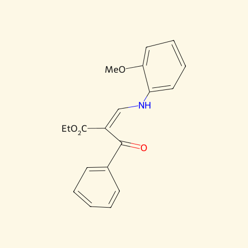 CCOC(=O)C(=CNc1ccccc1OC)C(=O)c1ccccc1